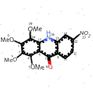 COc1c(OC)c(OC)c2c(=O)c3ccc([N+](=O)[O-])cc3[nH]c2c1OC